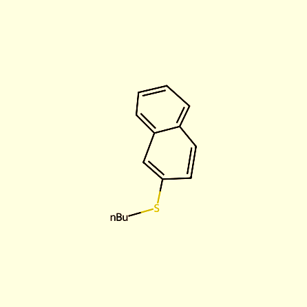 CCCCSc1ccc2ccccc2c1